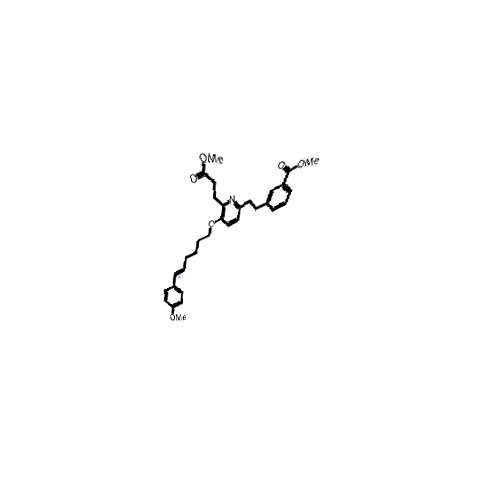 COC(=O)CCc1nc(CCc2cccc(C(=O)OC)c2)ccc1OCCCC/C=C/c1ccc(OC)cc1